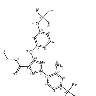 CCOC(=O)c1nn(-c2ccc(C(F)(F)F)cc2N)nc1Oc1cccc(OC(F)(F)F)c1